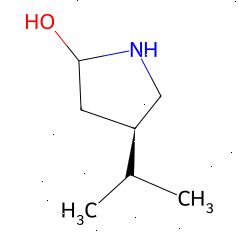 CC(C)[C@@H]1CNC(O)C1